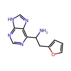 NC(Cc1ccco1)c1ncnc2[nH]cnc12